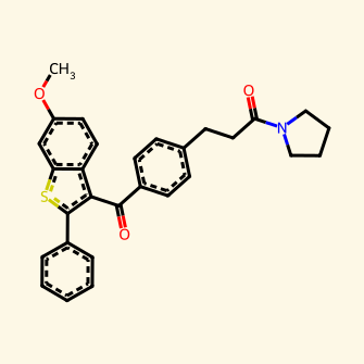 COc1ccc2c(C(=O)c3ccc(CCC(=O)N4CCCC4)cc3)c(-c3ccccc3)sc2c1